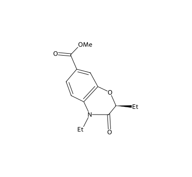 CC[C@@H]1Oc2cc(C(=O)OC)ccc2N(CC)C1=O